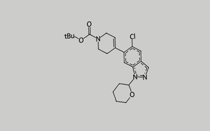 CC(C)(C)OC(=O)N1CC=C(c2cc3c(cnn3C3CCCCO3)cc2Cl)CC1